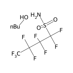 CCCCO.NS(=O)(=O)C(F)(F)C(F)(F)C(F)(F)C(F)(F)F